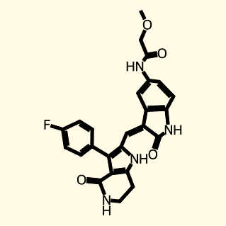 COCC(=O)Nc1ccc2c(c1)/C(=C/c1[nH]c3c(c1-c1ccc(F)cc1)C(=O)NCC3)C(=O)N2